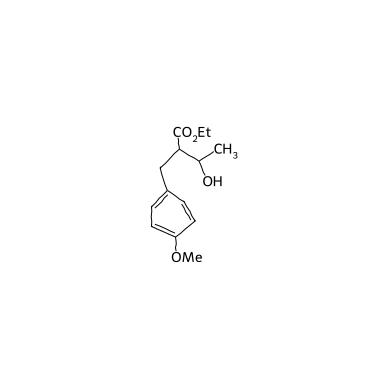 CCOC(=O)C(Cc1ccc(OC)cc1)C(C)O